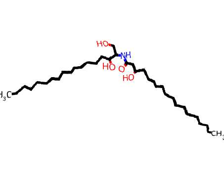 CCCCCCCCCCCCCCCC(O)CC(=O)NC(CO)C(O)CCCCCCCCCCCCCCC